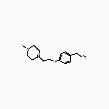 CC(C)Cc1ccc(OCCN2CCN(C)CC2)cc1